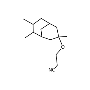 CC1CC2CC(CC(C)(OCCC#N)C2)C1C